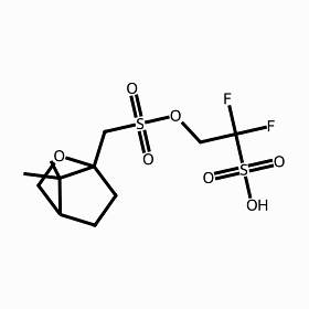 CC1(C)C2CCC1(CS(=O)(=O)OCC(F)(F)S(=O)(=O)O)OC2